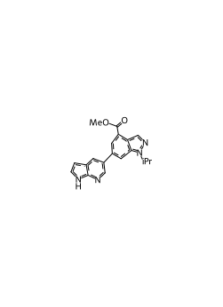 COC(=O)c1cc(-c2cnc3[nH]ccc3c2)cc2c1cnn2C(C)C